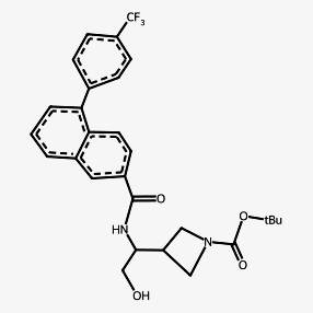 CC(C)(C)OC(=O)N1CC(C(CO)NC(=O)c2ccc3c(-c4ccc(C(F)(F)F)cc4)cccc3c2)C1